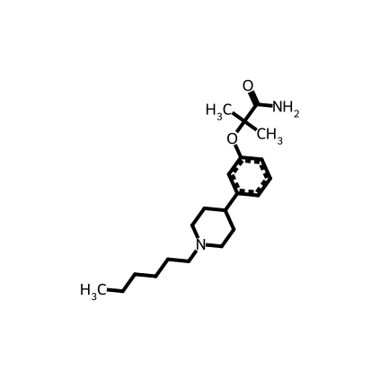 CCCCCCN1CCC(c2cccc(OC(C)(C)C(N)=O)c2)CC1